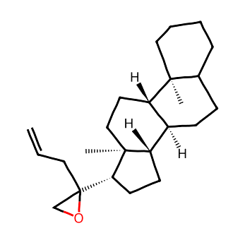 C=CCC1([C@H]2CC[C@H]3[C@@H]4CCC5CCCC[C@]5(C)[C@H]4CC[C@]23C)CO1